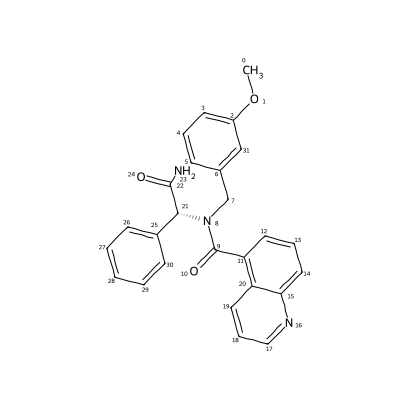 COc1cccc(CN(C(=O)c2cccc3ncccc23)[C@@H](C(N)=O)c2ccccc2)c1